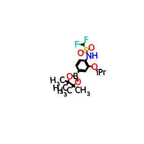 CC(C)Oc1cc(B2OC(C)(C)C(C)(C)O2)ccc1NS(=O)(=O)C(F)F